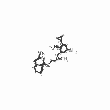 CCCCc1cc2ccccc2c(OCCN(C)Cc2cc(N)cc(C3CC3)c2N)n1